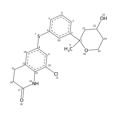 CC1(c2cccc(Sc3cc(Cl)c4c(c3)CCC(=O)N4)c2)CC(O)CCO1